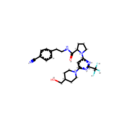 N#Cc1ccc(CCNC(=O)C2CCCN2c2cc(N3CCC(CO)CC3)nc(C(F)(F)F)n2)cc1